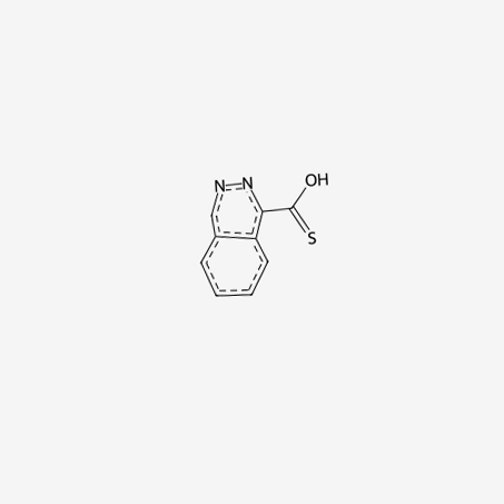 OC(=S)c1nncc2ccccc12